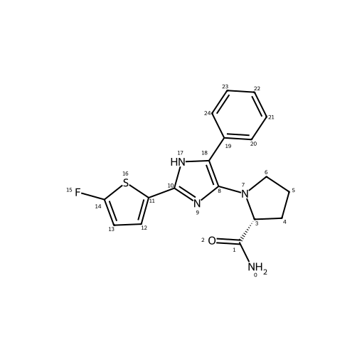 NC(=O)[C@H]1CCCN1c1nc(-c2ccc(F)s2)[nH]c1-c1ccccc1